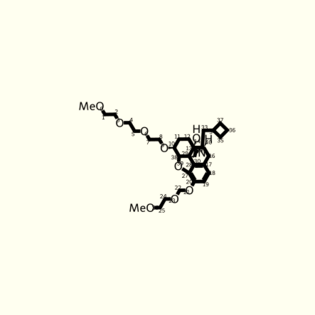 COCCOCCOCCO[C@H]1CC[C@@]2(O)[C@H]3Cc4ccc(OCOCCOC)c5c4[C@@]2(CCN3CC2CCC2)C1O5